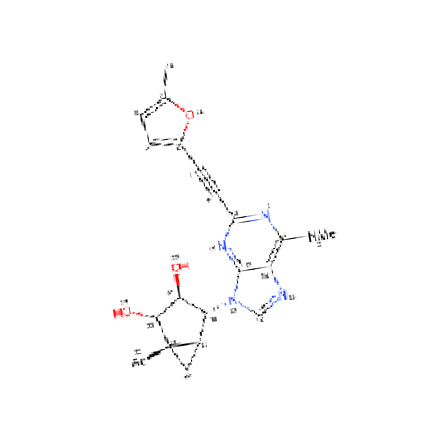 CNc1nc(C#Cc2ccc(C)o2)nc2c1ncn2[C@@H]1C2C[C@]2(C(C)=O)C(O)[C@H]1O